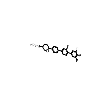 CCCCCC1CCC(c2ccc(-c3ccc(-c4cc(F)c(F)c(F)c4)c(F)c3)cc2)OC1